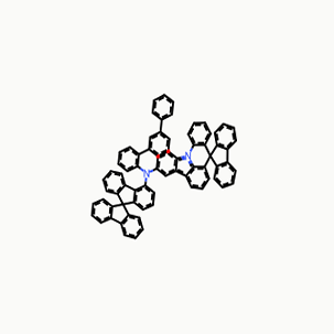 c1ccc(-c2cccc(-c3ccccc3N(c3ccc4c(c3)c3cccc5c3n4-c3ccccc3C53c4ccccc4-c4ccccc43)c3cccc4c3-c3ccccc3C43c4ccccc4-c4ccccc43)c2)cc1